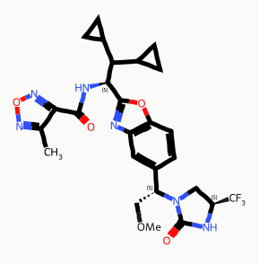 COC[C@H](c1ccc2oc([C@@H](NC(=O)c3nonc3C)C(C3CC3)C3CC3)nc2c1)N1C[C@@H](C(F)(F)F)NC1=O